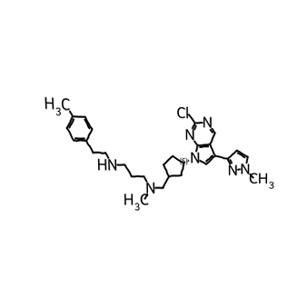 Cc1ccc(CCNCCCN(C)CC2CC[C@H](n3cc(-c4ccn(C)n4)c4cnc(Cl)nc43)C2)cc1